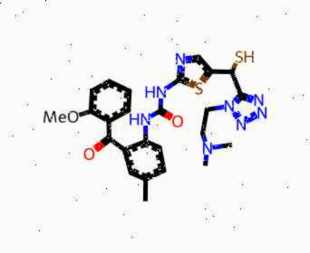 COc1ccccc1C(=O)c1cc(C)ccc1NC(=O)Nc1ncc(C(S)c2nnnn2CCN(C)C)s1